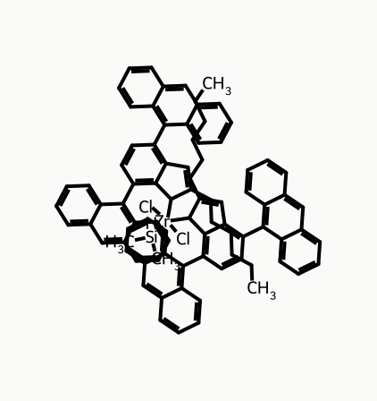 CCCCCCC1=Cc2c(-c3c4ccccc4cc4ccccc34)ccc(-c3c4ccccc4cc4ccccc34)c2[CH]1[Zr]([Cl])([Cl])([CH]1C(CCCCCC)=Cc2c(-c3c4ccccc4cc4ccccc34)ccc(-c3c4ccccc4cc4ccccc34)c21)[SiH](C)C